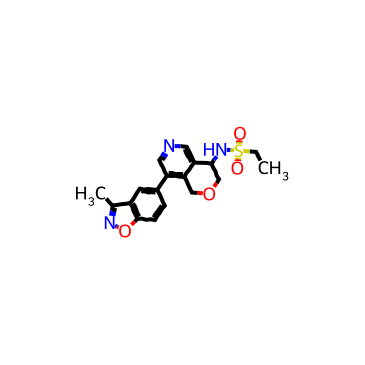 CCS(=O)(=O)NC1COCc2c(-c3ccc4onc(C)c4c3)cncc21